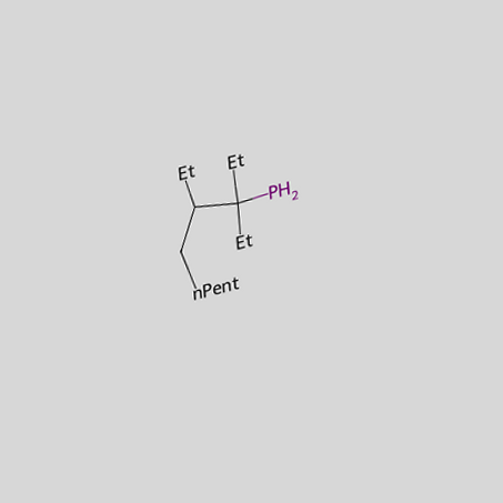 CCCCCCC(CC)C(P)(CC)CC